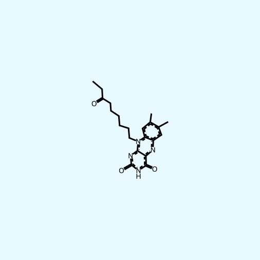 CCC(=O)CCCCCCn1c2nc(=O)[nH]c(=O)c-2nc2cc(C)c(C)cc21